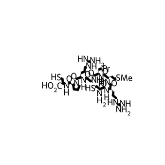 CSCC[C@H](NC(=O)[C@H](CCCNC(=N)N)NC(=O)[C@@H](N)CS)C(=O)N[C@@H](CC(C)C)C(=O)NCC(=O)N[C@@H](CCCNC(=N)N)C(=O)N1CCC[C@H]1C(=O)N[C@@H](CS)C(=O)O